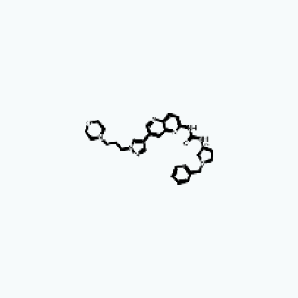 O=C(Nc1ccc2ncc(-c3cnn(CCCN4CCOCC4)c3)cc2n1)N[C@H]1CCN(Cc2ccccc2)C1